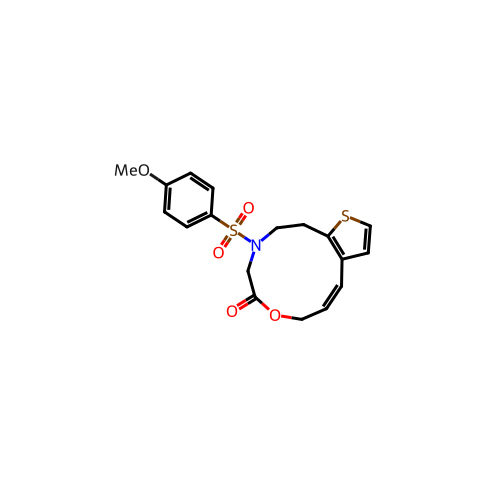 COc1ccc(S(=O)(=O)N2CCc3sccc3/C=C\COC(=O)C2)cc1